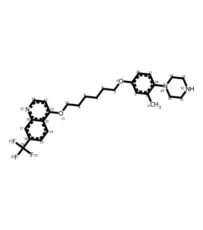 Cc1cc(OCCCCCCOc2ccnc3cc(C(F)(F)F)ccc23)ccc1N1CCNCC1